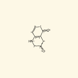 O=C1CNC2=C(C1)C(=O)CC=C2